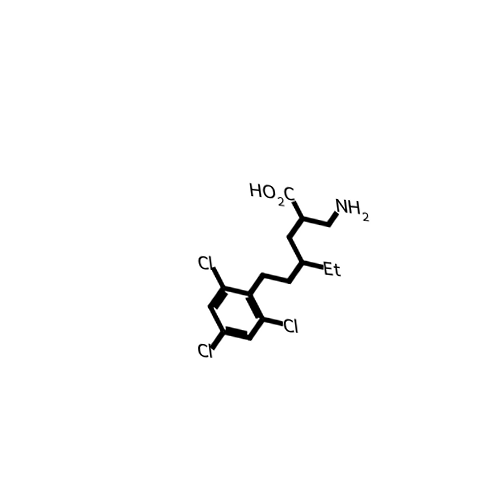 CCC(CCc1c(Cl)cc(Cl)cc1Cl)CC(CN)C(=O)O